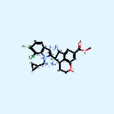 COC(=O)c1cc2c3c(c1)C(N)[C@](N)(c1cc4ccc(F)c(Cl)c4n1CC1CC1)C3CCO2